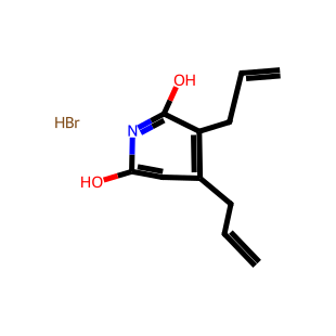 Br.C=CCc1cc(O)nc(O)c1CC=C